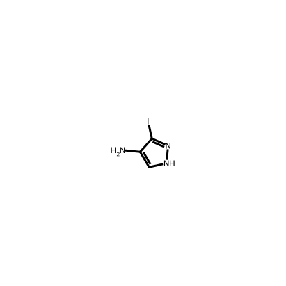 Nc1c[nH]nc1I